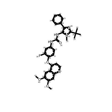 COc1cc2nccc(Oc3ccc(NC(=O)Nc4c(-c5ccccc5)nc(C(C)(C)C)n4C)cc3F)c2cc1OC